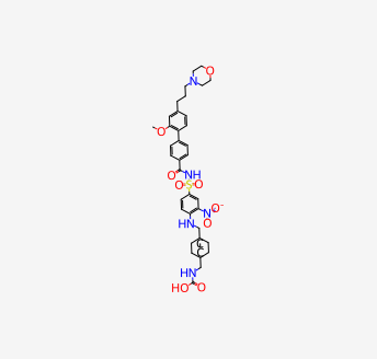 COc1cc(CCCN2CCOCC2)ccc1-c1ccc(C(=O)NS(=O)(=O)c2ccc(NCC34CCC(CNC(=O)O)(CC3)CC4)c([N+](=O)[O-])c2)cc1